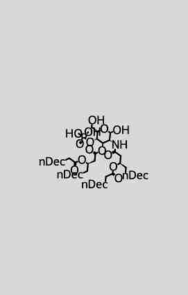 CCCCCCCCCCCC(=O)O[C@H](CCCCCCCCCCC)CC(=O)N[C@@H]1[C@@H](OC(=O)C[C@@H](CCCCCCCCCCC)OC(=O)CCCCCCCCCCC)[C@H](OP(=O)(O)O)[C@@H](CO)O[C@H]1O